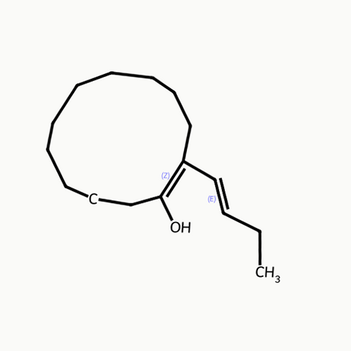 CC/C=C/C1=C(\O)CCCCCCCCCC1